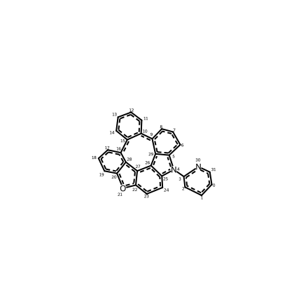 c1ccc(-n2c3cccc4c5ccccc5c5cccc6oc7ccc2c(c7c65)c43)nc1